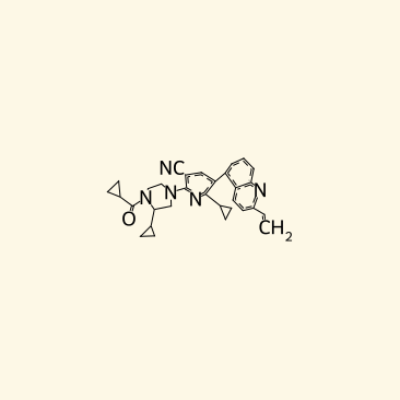 C=Cc1ccc2c(-c3cc(C#N)c(N4CCN(C(=O)C5CC5)C(C5CC5)C4)nc3C3CC3)cccc2n1